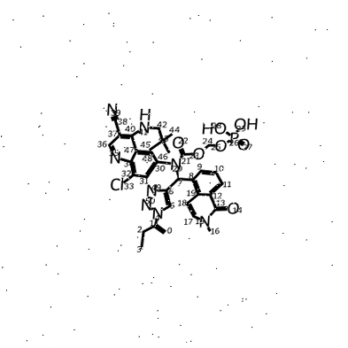 C=C(CC)n1cc([C@H](c2cccc3c(=O)n(C)ccc23)N(C(=O)OCOP(=O)(O)O)c2cc(Cl)c3ncc(C#N)c(NCC(C)(C)C)c3c2)nn1